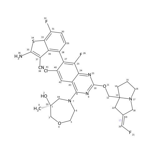 C[C@@]1(O)COCCN(c2nc(OCC34CCCN3C/C(=C\F)C4)nc3c(F)c(-c4ccc(F)c5sc(N)c(C#N)c45)c(Cl)cc23)C1